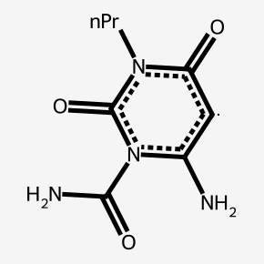 CCCn1c(=O)[c]c(N)n(C(N)=O)c1=O